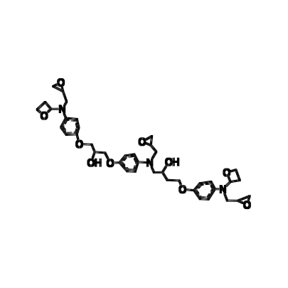 OC(COc1ccc(N(CC(O)CCOc2ccc(N(CC3CO3)C3CCO3)cc2)CC2CO2)cc1)COc1ccc(N(CC2CO2)C2CCO2)cc1